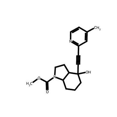 COC(=O)N1CCC2C1CCCC2(O)C#Cc1cc(C)ccn1